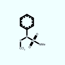 CNS(=O)(=O)N(SC(Cl)(Cl)Cl)c1ccccc1